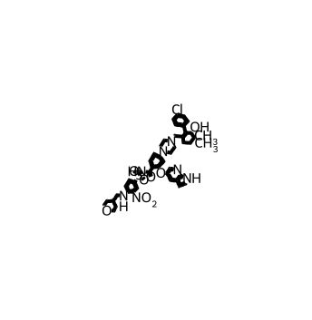 CC1(C)CCC(CN2CCN(c3ccc(C(=O)NS(=O)(=O)c4ccc(NCC5CCOCC5)c([N+](=O)[O-])c4)c(Oc4cnc5[nH]ccc5c4)c3)CC2)=C(c2ccc(Cl)cc2)C1O